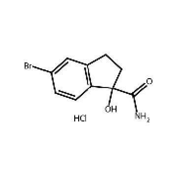 Cl.NC(=O)C1(O)CCc2cc(Br)ccc21